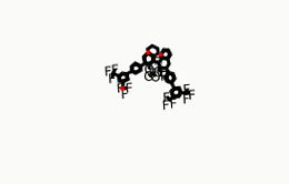 O=P1(O)Oc2c(-c3ccc(-c4cc(C(F)(F)F)cc(C(F)(F)F)c4)cc3)cc3c(c2[C@H]2c4ccccc4CC(c4ccc(-c5cc(C(F)(F)F)cc(C(F)(F)F)c5)cc4)[C@H]2O1)CCCC3